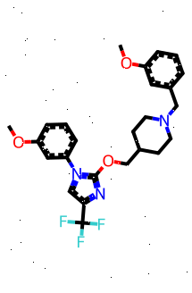 COc1cccc(CN2CCC(COc3nc(C(F)(F)F)cn3-c3cccc(OC)c3)CC2)c1